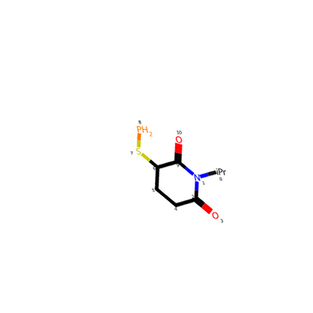 CC(C)N1C(=O)CCC(SP)C1=O